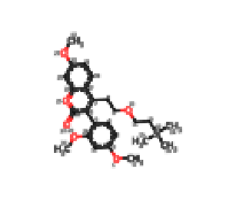 COc1ccc(-c2c(CCOCC[Si](C)(C)C)c3ccc(OC)cc3oc2=O)c(OC)c1